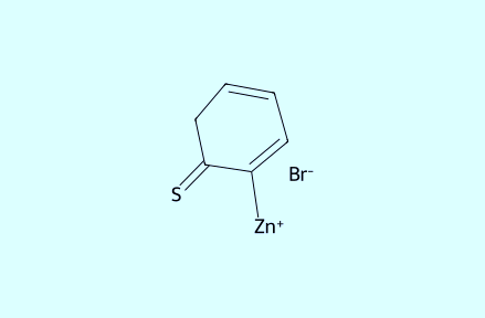 S=C1CC=CC=[C]1[Zn+].[Br-]